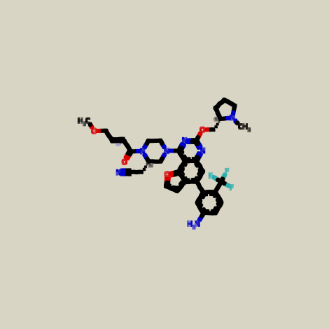 COC/C=C/C(=O)N1CCN(c2nc(OC[C@@H]3CCCN3C)nc3cc(-c4cc(N)ccc4C(F)(F)F)c4ccoc4c23)C[C@@H]1CC#N